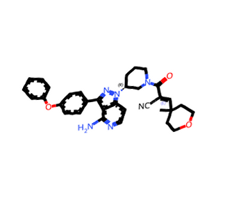 CC1(/C=C(\C#N)C(=O)N2CCC[C@@H](n3nc(-c4ccc(Oc5ccccc5)cc4)c4c(N)nccc43)C2)CCOCC1